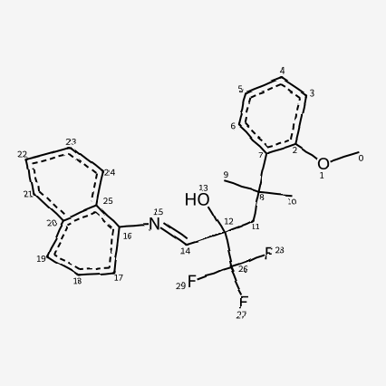 COc1ccccc1C(C)(C)CC(O)(C=Nc1cccc2ccccc12)C(F)(F)F